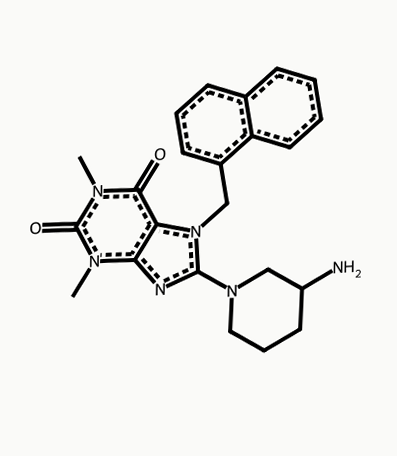 Cn1c(=O)c2c(nc(N3CCCC(N)C3)n2Cc2cccc3ccccc23)n(C)c1=O